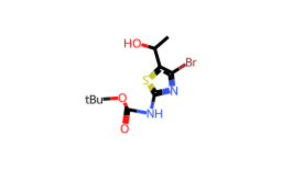 CC(O)c1sc(NC(=O)OC(C)(C)C)nc1Br